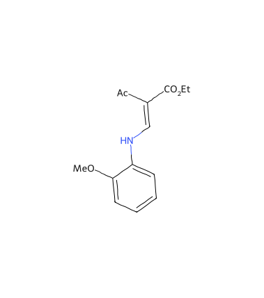 CCOC(=O)C(=CNc1ccccc1OC)C(C)=O